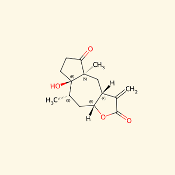 C=C1C(=O)O[C@@H]2C[C@H](C)[C@]3(O)CCC(=O)[C@@]3(C)C[C@H]12